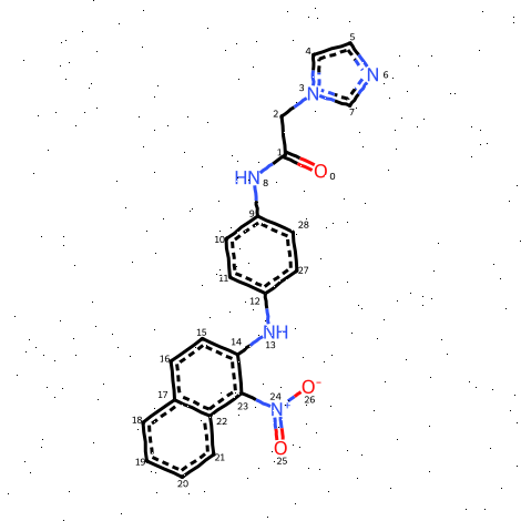 O=C(Cn1ccnc1)Nc1ccc(Nc2ccc3ccccc3c2[N+](=O)[O-])cc1